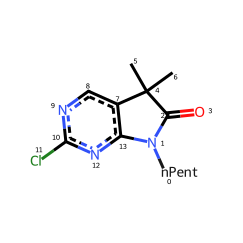 CCCCCN1C(=O)C(C)(C)c2cnc(Cl)nc21